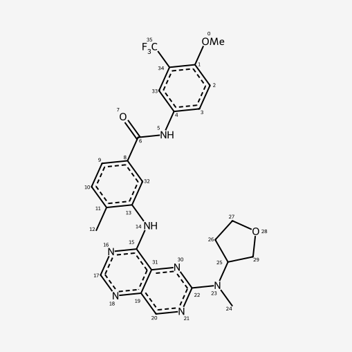 COc1ccc(NC(=O)c2ccc(C)c(Nc3ncnc4cnc(N(C)C5CCOC5)nc34)c2)cc1C(F)(F)F